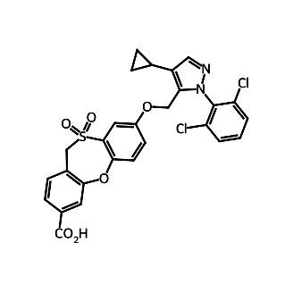 O=C(O)c1ccc2c(c1)Oc1ccc(OCc3c(C4CC4)cnn3-c3c(Cl)cccc3Cl)cc1S(=O)(=O)C2